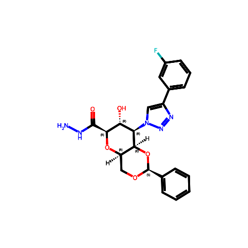 NNC(=O)[C@@H]1O[C@@H]2CO[C@H](c3ccccc3)O[C@@H]2[C@H](n2cc(-c3cccc(F)c3)nn2)[C@H]1O